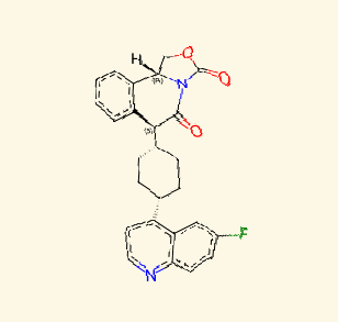 O=C1OC[C@H]2c3ccccc3[C@H]([C@H]3CC[C@@H](c4ccnc5ccc(F)cc54)CC3)C(=O)N12